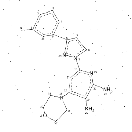 Cc1cccc(-c2ccn(-c3cc(N4CCOCC4)c(N)c(N)n3)n2)c1